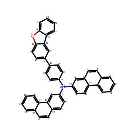 c1ccc2c(c1)ccc1cc(N(c3ccc(-c4ccc5oc6ccccc6c5c4)cc3)c3ccc4ccc5ccccc5c4c3)ccc12